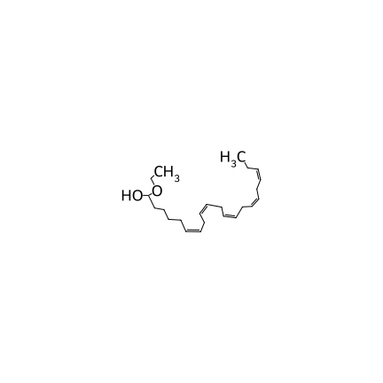 CC/C=C\C/C=C\C/C=C\C/C=C\C/C=C\CCCCC(O)OCC